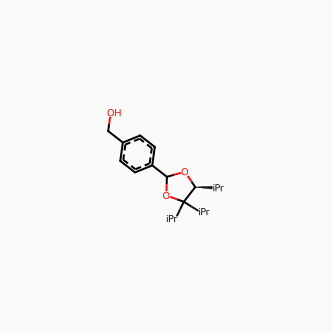 CC(C)[C@@H]1OC(c2ccc(CO)cc2)OC1(C(C)C)C(C)C